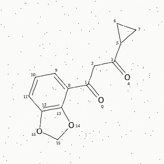 O=C(CC(=O)C1CC1)c1cccc2c1OCO2